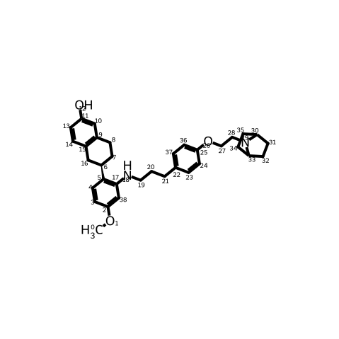 COc1ccc([C@@H]2CCc3cc(O)ccc3C2)c(NCCCc2ccc(OCCN3C4CCC3CC4)cc2)c1